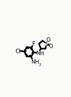 Nc1cc(Cl)cc(F)c1NC1CCS(=O)(=O)C1